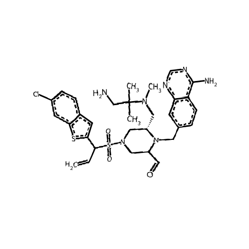 C=CC(c1cc2ccc(Cl)cc2s1)S(=O)(=O)N1CC(C=O)N(Cc2ccc3c(N)ncnc3c2)[C@@H](CN(C)C(C)(C)CN)C1